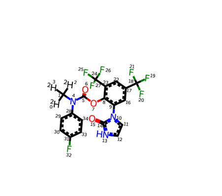 [2H]C([2H])([2H])N(C(=O)Oc1c(-n2cc[nH]c2=O)cc(C(F)(F)F)cc1C(F)(F)F)c1ccc(F)cc1